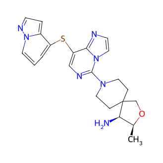 C[C@@H]1OCC2(CCN(c3ncc(Sc4cccn5nccc45)c4nccn34)CC2)[C@@H]1N